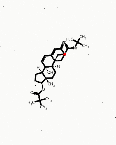 CC(C)(C)NC(=O)OC[C@]12CCC(=O)C=C1C=C[C@@]1(O)[C@@H]2CC[C@]2(C)[C@@H](OC(=O)C(C)(C)C)CC[C@@H]12